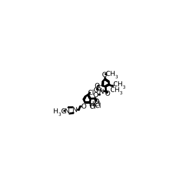 COc1cc(C(C)C)c2c(c1)S(=O)(=O)N(COC(=O)c1c(Cl)ccc(OCCN3CCN(C)CC3)c1Cl)C2=O.Cl.Cl